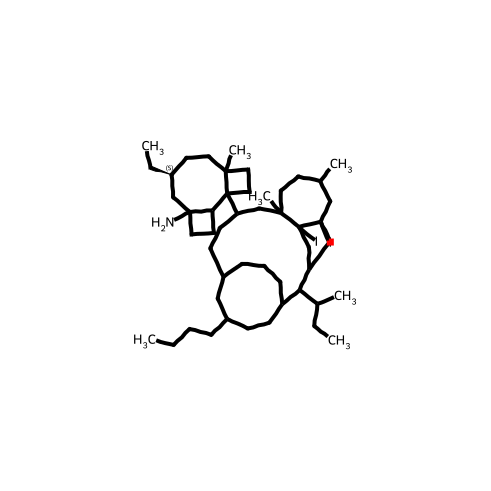 CCCCC1CCC2CCCC(CCC(C34CCC3(C)CC[C@H](CC)CC3(N)CCC34)CC3(C)CCC(C)CC4(I)CC(CC34I)C2C(C)CC)C1